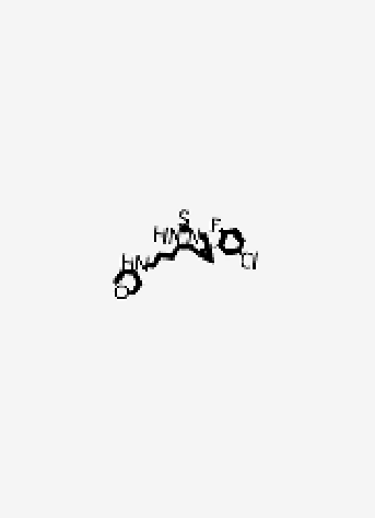 Fc1ccc(Cl)cc1[C@]12CC1c1c(CCCNC3CCOCC3)[nH]c(=S)n1C2